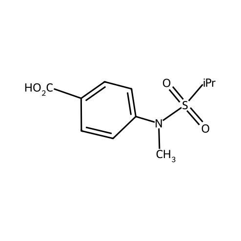 CC(C)S(=O)(=O)N(C)c1ccc(C(=O)O)cc1